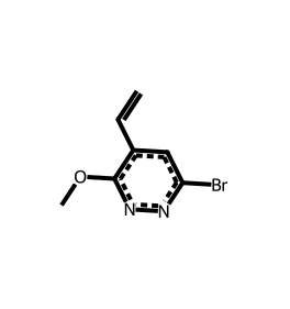 C=Cc1cc(Br)nnc1OC